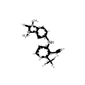 Cn1c(=O)n(C)c2cc(Nc3ccnc(C(F)(F)F)c3C#N)ccc21